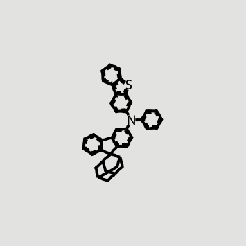 c1ccc(N(c2ccc3c(c2)-c2ccccc2C32C3CC4CC(C3)CC2C4)c2ccc3c(c2)sc2ccccc23)cc1